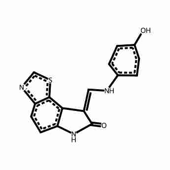 O=C1Nc2ccc3ncsc3c2C1=CNc1ccc(O)cc1